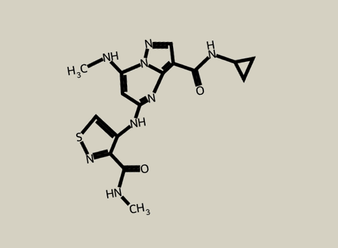 CNC(=O)c1nscc1Nc1cc(NC)n2ncc(C(=O)NC3CC3)c2n1